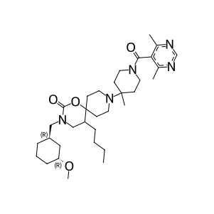 CCCCC1CN(C[C@@H]2CCC[C@@H](OC)C2)C(=O)OC12CCN(C1(C)CCN(C(=O)c3c(C)ncnc3C)CC1)CC2